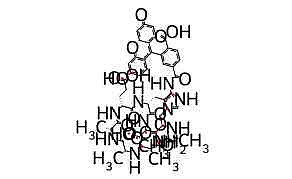 CC(=O)N[C@H](CCCCNC(=O)c1ccc(C(=O)O)c(-c2c3ccc(=O)cc-3oc3cc(O)ccc23)c1)C(=O)N[C@H](C)C(=O)N[C@H](C)C(=O)N[C@H](C)C(=O)N[C@H](CCC(=O)O)C(=O)N[C@H](Cc1c[nH]cn1)C(=O)NC(C(N)=O)[C@H](C)O